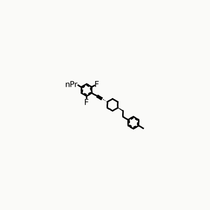 CCCc1cc(F)c(C#C[C@H]2CC[C@H](CCc3ccc(C)cc3)CC2)c(F)c1